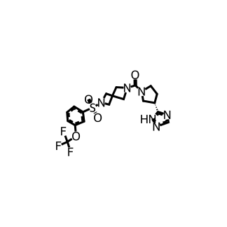 O=C(N1CC[C@H](c2ncn[nH]2)C1)N1CC2(C1)CN(S(=O)(=O)c1cccc(OC(F)(F)F)c1)C2